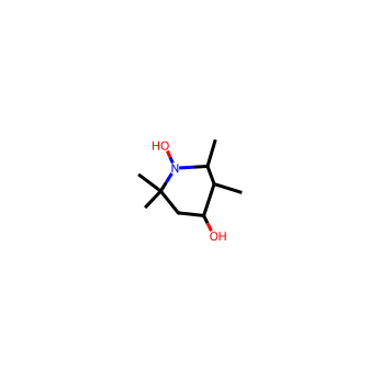 CC1C(O)CC(C)(C)N(O)C1C